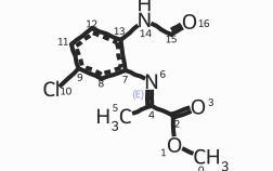 COC(=O)/C(C)=N/c1cc(Cl)ccc1NC=O